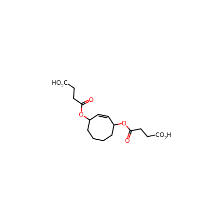 O=C(O)CCC(=O)OC1/C=C\C(OC(=O)CCC(=O)O)CCCC1